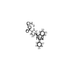 CCOC(=O)C1CCN(c2nc(-c3ccccc3)nc3ccccc23)CC1